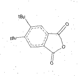 CC(C)(C)c1cc2c(cc1C(C)(C)C)C(=O)OC2=O